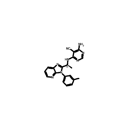 Cc1cccc(-n2c([C@H](C)Nc3ncnc(N)c3C#N)nc3cccnc32)c1